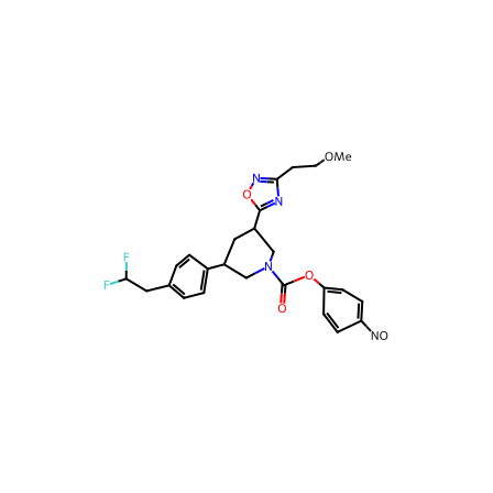 COCCc1noc(C2CC(c3ccc(CC(F)F)cc3)CN(C(=O)Oc3ccc(N=O)cc3)C2)n1